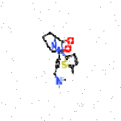 Cc1ccc(N2CC3CCC(C2=O)N3C(=O)C#CCN(C)C)s1